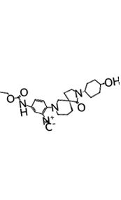 [C-]#[N+]c1cc(NC(=O)OCC(C)C)ccc1N1CCC[C@]2(CCN([C@H]3CC[C@H](O)CC3)C2=O)C1